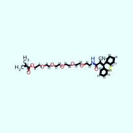 C=C(C)C(=O)OCCOCCOCCOCCOCCOCCNC(=O)C(C#N)=C1c2ccccc2Sc2ccccc21